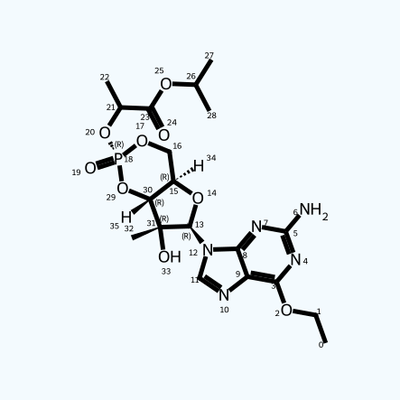 CCOc1nc(N)nc2c1ncn2[C@@H]1O[C@@H]2CO[P@@](=O)(OC(C)C(=O)OC(C)C)O[C@H]2[C@@]1(C)O